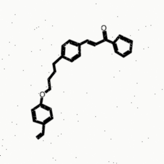 C=Cc1ccc(OCCCCc2ccc(C=CC(=O)c3ccccc3)cc2)cc1